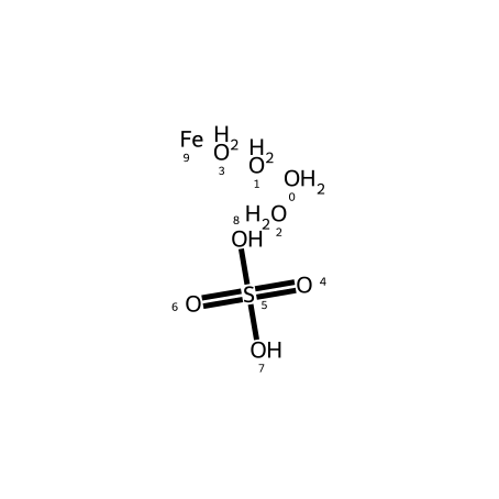 O.O.O.O.O=S(=O)(O)O.[Fe]